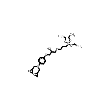 CCO[Si](CCCOCC(O)COc1ccc(N(CC2CO2)CC2CO2)cc1)(OCC)OCC